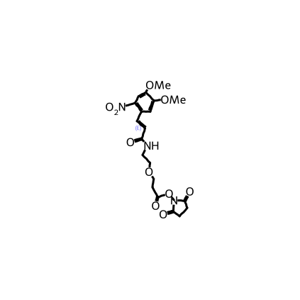 COc1cc(/C=C/C(=O)NCCOCCC(=O)ON2C(=O)CCC2=O)c([N+](=O)[O-])cc1OC